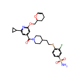 NS(=O)(=O)c1ccc(SCCC2CCN(C(=O)c3cc(OCC4CCC=CO4)nc(C4CC4)c3)CC2)c(F)c1